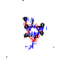 NCCCC[C@@H]1NC(=O)[C@@H](Cc2c[nH]c3ccccc23)NC(=O)[C@H](c2ccccc2)NC(=O)[C@@H]2C[C@@H](OC(=O)NCCN)CN2C(=O)C(Cc2ccccc2)NC(=O)[C@H](Cc2ccc(OCc3ccccc3)cc2)NC1=O